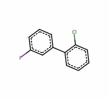 Clc1ccccc1-c1cc[c]c(I)c1